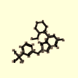 [CH2][CH]C1CCCCN1c1cc(C)nc2cc(Cc3cccc(C(F)(F)F)c3)nn12